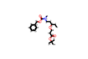 CCC(CCN(C)C(=O)OCc1ccccc1)OCCC(=O)OC(C)(C)C